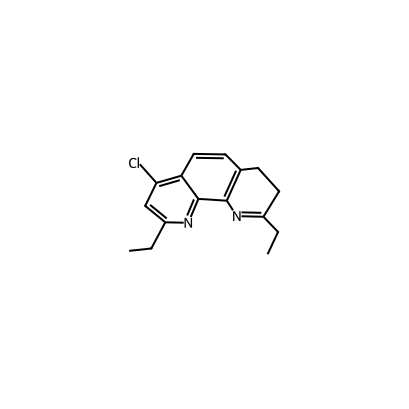 CCC1=Nc2c(ccc3c(Cl)cc(CC)nc23)CC1